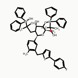 Cc1ccc([C@@H]2O[C@H](CO)C(O[Si](c3ccccc3)(c3ccccc3)C(C)(C)C)[C@H](O)C2CC(C)(C)[Si](O)(c2ccccc2)c2ccccc2)cc1Cc1ccc(-c2ccc(F)cc2)s1